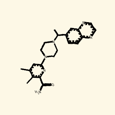 Cc1cc(N2CCN(C(C)c3ccc4nccnc4c3)CC2)nc(C(N)=O)c1C